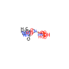 CC(C)C[C@H](NC(=O)[C@@H](Cc1ccccc1)NC(=O)c1cnccn1)B1OCCN(CCCCC(=O)NC(P(=O)(O)O)P(=O)(O)O)CCO1